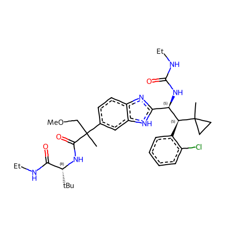 CCNC(=O)N[C@H](c1nc2ccc(C(C)(COC)C(=O)N[C@@H](C(=O)NCC)C(C)(C)C)cc2[nH]1)[C@H](c1ccccc1Cl)C1(C)CC1